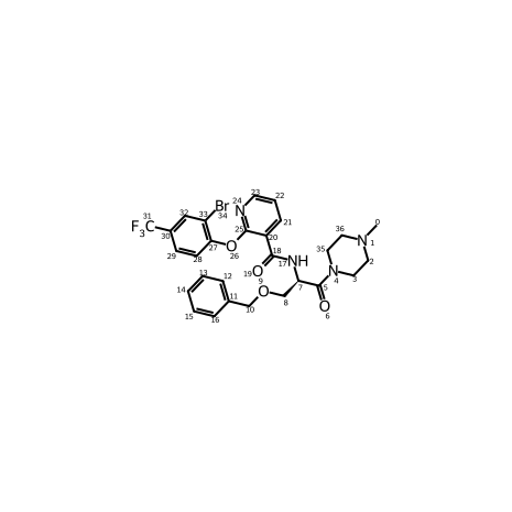 CN1CCN(C(=O)[C@@H](COCc2ccccc2)NC(=O)c2cccnc2Oc2ccc(C(F)(F)F)cc2Br)CC1